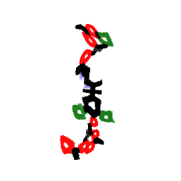 CC(=O)OC[C@H](COc1c(Cl)cc(C(C)(C)/C(C)=C/C=C(\C)OC[C@@H](CCl)OC(C)=O)cc1Cl)OC(C)=O